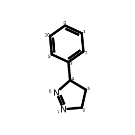 c1ccc(C2CCN=N2)cc1